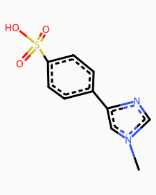 Cn1cnc(-c2ccc(S(=O)(=O)O)cc2)c1